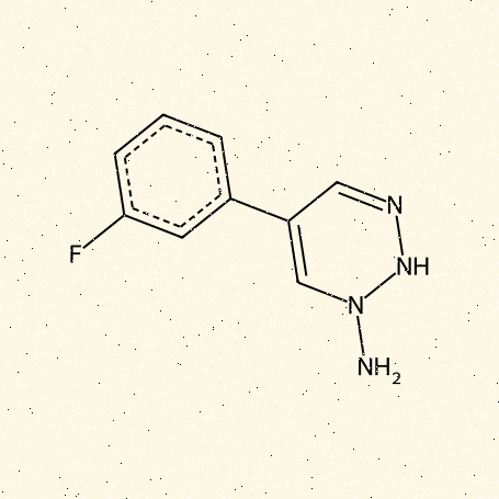 NN1C=C(c2cccc(F)c2)C=NN1